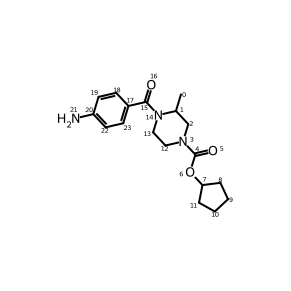 CC1CN(C(=O)OC2CCCC2)CCN1C(=O)c1ccc(N)cc1